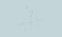 O=P([O-])([O-])C(Cl)(Cl)P(=O)([O-])[O-].[Pd+2].[Pd+2]